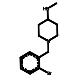 CNC1CCN(Cc2ccccc2Br)CC1